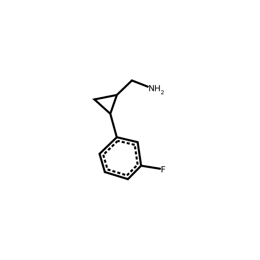 NCC1CC1c1cccc(F)c1